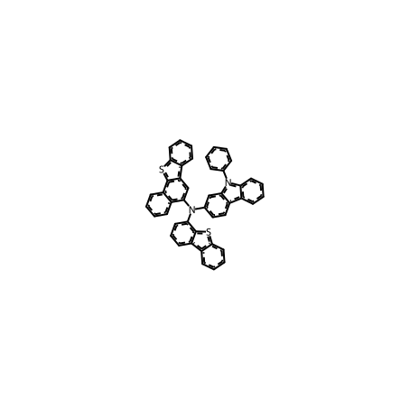 c1ccc(-n2c3ccccc3c3ccc(N(c4cc5c6ccccc6sc5c5ccccc45)c4cccc5c4sc4ccccc45)cc32)cc1